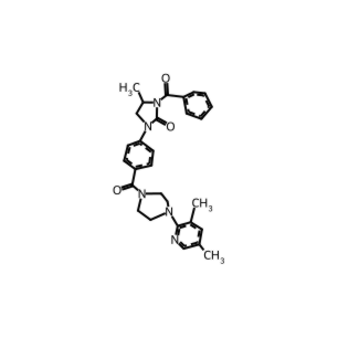 Cc1cnc(N2CCN(C(=O)c3ccc(N4CC(C)N(C(=O)c5ccccc5)C4=O)cc3)CC2)c(C)c1